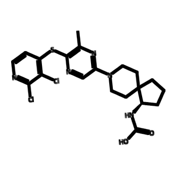 Cc1nc(N2CCC3(CCC[C@H]3NC(=O)O)CC2)cnc1Sc1ccnc(Cl)c1Cl